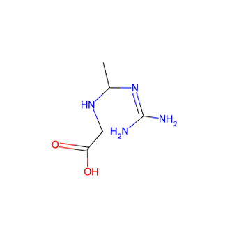 CC(N=C(N)N)NCC(=O)O